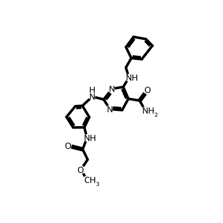 COCC(=O)Nc1cccc(Nc2ncc(C(N)=O)c(NCc3ccccc3)n2)c1